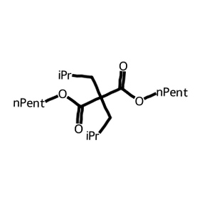 CCCCCOC(=O)C(CC(C)C)(CC(C)C)C(=O)OCCCCC